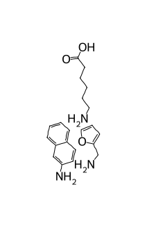 NCCCCCC(=O)O.NCc1ccco1.Nc1ccc2ccccc2c1